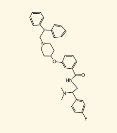 CN(C)C(CNC(=O)c1cccc(OC2CCN(CC(c3ccccc3)c3ccccc3)CC2)c1)c1ccc(F)cc1